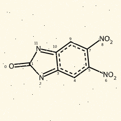 O=C1N=c2cc([N+](=O)[O-])c([N+](=O)[O-])cc2=N1